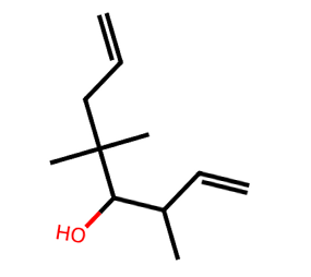 C=CCC(C)(C)C(O)C(C)C=C